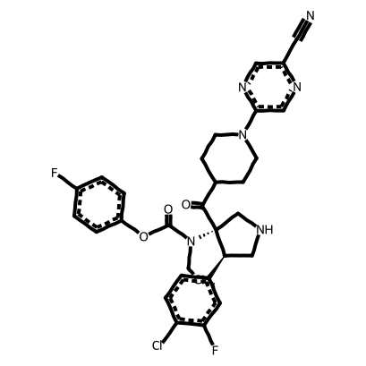 CCN(C(=O)Oc1ccc(F)cc1)[C@]1(C(=O)C2CCN(c3cnc(C#N)cn3)CC2)CNC[C@H]1c1ccc(Cl)c(F)c1